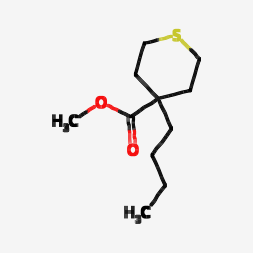 CCCCC1(C(=O)OC)CCSCC1